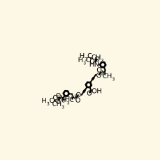 CN(Cc1cccc(NC(=O)OC(C)(C)C)c1)C(=O)OCC#Cc1ccc(C#CCOC(=O)N(C)Cc2cccc(NC(=O)OC(C)(C)C)c2)c(C(=O)O)c1